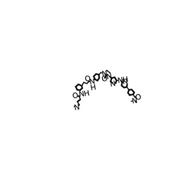 CN(C)CC=CC(=O)Nc1cccc(CCC(=O)Nc2ccc(CN3CCN(c4cncc(Nc5ccc(-c6ccc(C(=O)N(C)C)cc6)cn5)c4)C3=O)cc2)c1